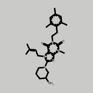 CC(C)=CCn1c(N2CCCC(N)C2)nc2c1c(=O)n(CCc1c(C)cc(C)cc1C)c(=O)n2C